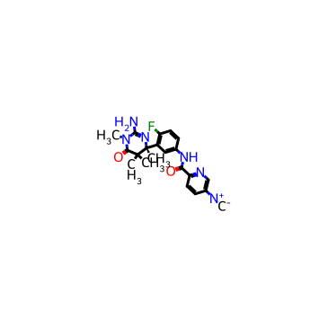 [C-]#[N+]c1ccc(C(=O)Nc2ccc(F)c([C@@]3(C)N=C(N)N(C)C(=O)C3(C)C)c2)nc1